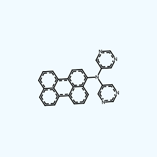 c1cc2cccc3c4ccc(N(c5cncnc5)c5cncnc5)c5cccc(c(c1)c23)c54